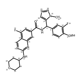 COc1ccc(C(NC(=O)c2cc(F)c3cnc(NC4CCOCC4)nc3c2)c2cnnn2C)cc1F